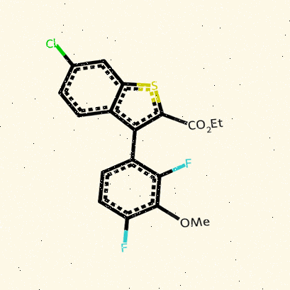 CCOC(=O)c1sc2cc(Cl)ccc2c1-c1ccc(F)c(OC)c1F